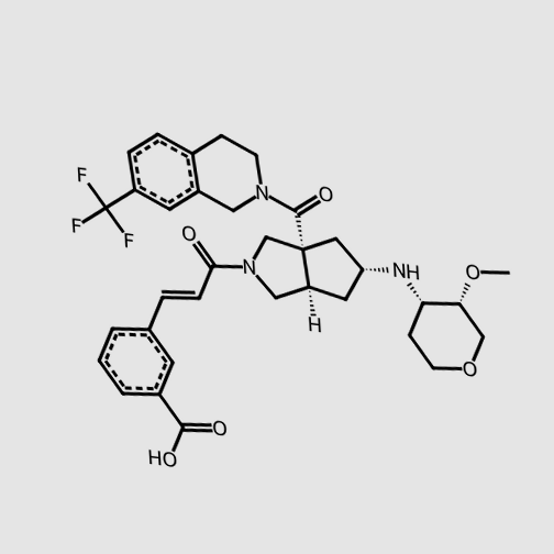 CO[C@@H]1COCC[C@@H]1N[C@@H]1C[C@H]2CN(C(=O)C=Cc3cccc(C(=O)O)c3)C[C@@]2(C(=O)N2CCc3ccc(C(F)(F)F)cc3C2)C1